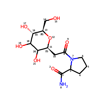 NC(=O)C1CCCN1C(=O)C[C@@H]1O[C@H](CO)[C@@H](O)C(O)C1O